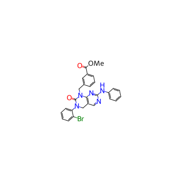 COC(=O)c1cccc(CN2C(=O)N(c3ccccc3Br)Cc3cnc(Nc4ccccc4)nc32)c1